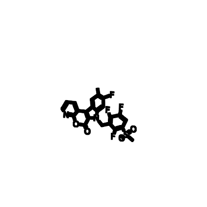 Cc1cc2c3c4cccnc4oc(=O)c3n(Cc3c(F)c(F)cc(S(C)(=O)=O)c3F)c2cc1F